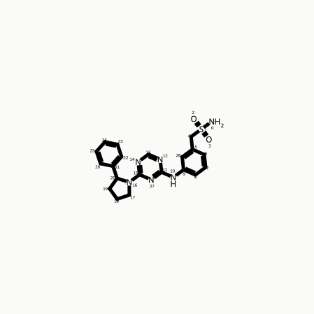 NS(=O)(=O)Cc1cccc(Nc2ncnc(N3CCCC3c3ccccc3)n2)c1